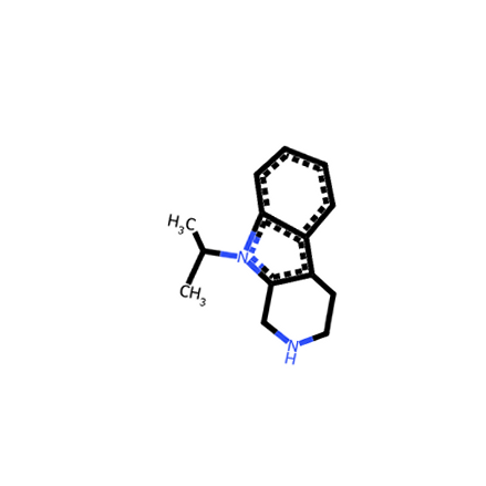 CC(C)n1c2c(c3ccccc31)CCNC2